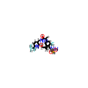 CC(C(=O)NCc1ccc(C(F)(F)F)nc1OCC1CC1)c1ccc(CNS(C)(=O)=O)c(F)c1